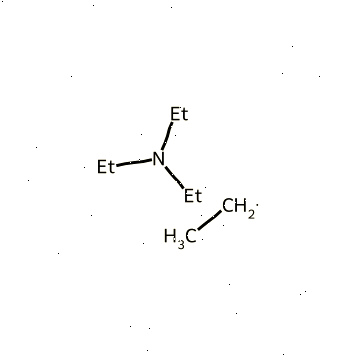 CCN(CC)CC.[CH2]C